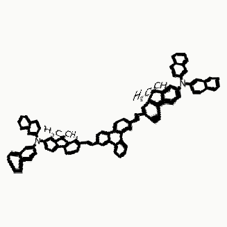 CC1(C)c2cc(/C=C/c3ccc4c5ccc(/C=C/c6ccc7c(c6)C(C)(C)c6cc(N(c8ccc9ccccc9c8)c8ccc9ccccc9c8)ccc6-7)cc5c5ccccc5c4c3)ccc2-c2ccc(N(c3ccc4ccccc4c3)c3ccc4ccccc4c3)cc21